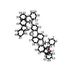 c1ccc(-c2ccccc2N(c2ccc3c4c(cccc24)Oc2cc(N(c4ccccc4-c4ccccc4)c4cccc5c4sc4ccccc45)ccc2-3)c2cccc3c2oc2ccccc23)cc1